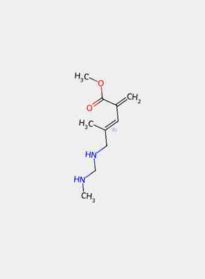 C=C(/C=C(\C)CNCNC)C(=O)OC